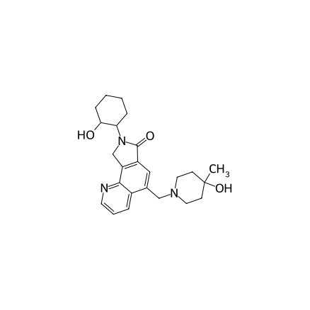 CC1(O)CCN(Cc2cc3c(c4ncccc24)CN(C2CCCCC2O)C3=O)CC1